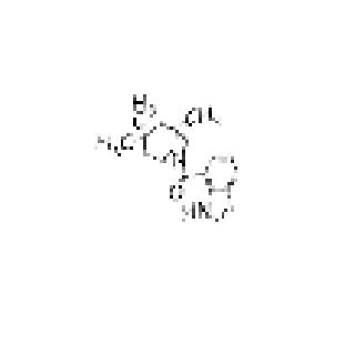 CC1(C)CC2C[C@](C)(CN2C(=O)c2cccc3cc[nH]c23)C1